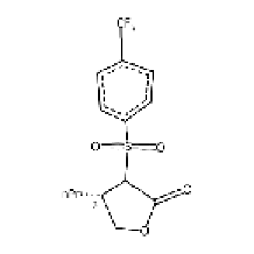 CCC[C@H]1COC(=O)C1S(=O)(=O)c1ccc(C(F)(F)F)cc1